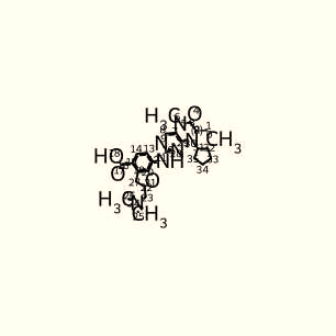 CC[C@@H]1C(=O)N(C)c2cnc(Nc3ccc(C(=O)O)c4c3OC(CN(C)C)C4)nc2N1C1CCCC1